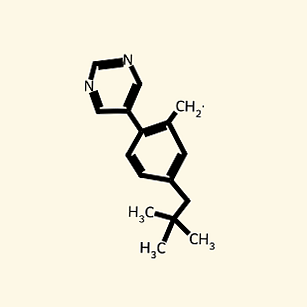 [CH2]c1cc(CC(C)(C)C)ccc1-c1cncnc1